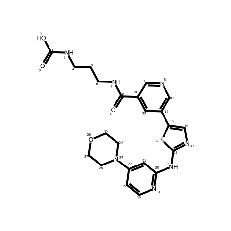 O=C(O)NCCCNC(=O)c1cncc(-c2cnc(Nc3cc(N4CCOCC4)ccn3)s2)c1